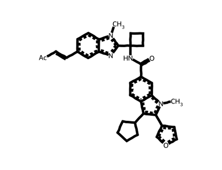 CC(=O)/C=C/c1ccc2c(c1)nc(C1(NC(=O)c3ccc4c(C5CCCC5)c(-c5ccoc5)n(C)c4c3)CCC1)n2C